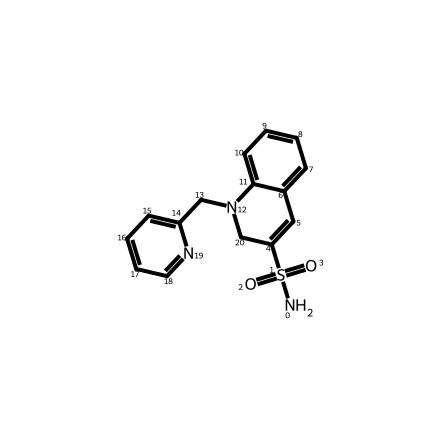 NS(=O)(=O)C1=Cc2ccccc2N(Cc2ccccn2)C1